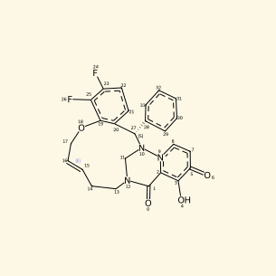 O=C1c2c(O)c(=O)ccn2N2CN1CC/C=C/COc1c(ccc(F)c1F)[C@@H]2c1ccccc1